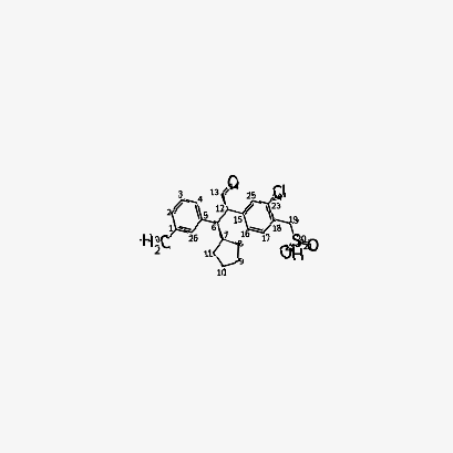 [CH2]c1cccc([C@H](C2CCCC2)[C@@H](C=O)c2ccc(C[SH](=O)=O)c(Cl)c2)c1